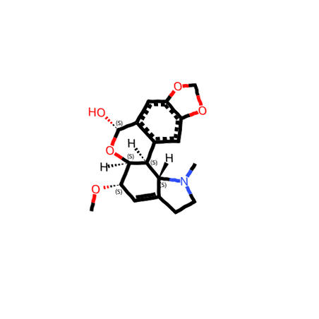 CO[C@H]1C=C2CCN(C)[C@H]2[C@@H]2c3cc4c(cc3[C@@H](O)O[C@@H]21)OCO4